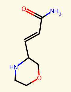 NC(=O)/C=C/C1COCCN1